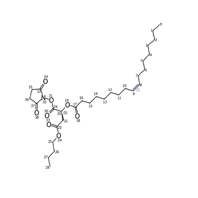 CCCCCCCC/C=C\CCCCCCCC(=O)O[C@@H](CC(=O)OCCCC)C(=O)ON1C(=O)CCC1=O